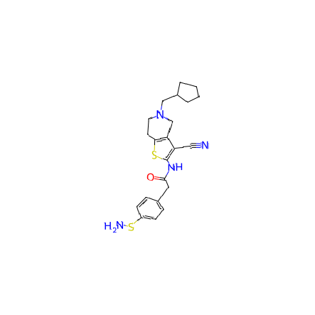 N#Cc1c(NC(=O)Cc2ccc(SN)cc2)sc2c1CN(CC1CCCC1)CC2